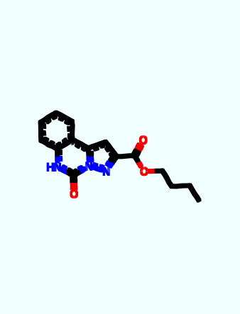 CCCCOC(=O)c1cc2c3ccccc3[nH]c(=O)n2n1